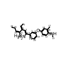 C/C=C(\C=C(/N)c1cc(Oc2ccc(NC)c(C)c2)ccn1)C(/N)=C\CC